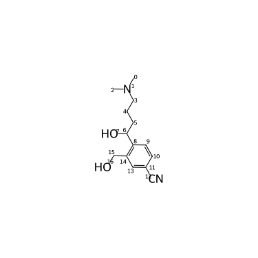 CN(C)CCCC(O)c1ccc(C#N)cc1CO